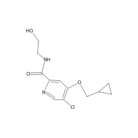 O=C(NCCO)c1cc(OCC2CC2)c(Cl)cn1